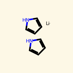 [Li].c1cc[nH]c1.c1cc[nH]c1